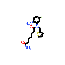 NC(=O)CCCCCC(=O)N(Cc1cccs1)c1cc(F)ccc1N